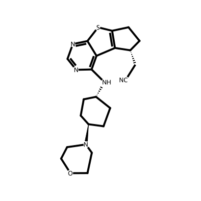 N#CC[C@H]1CCc2sc3ncnc(N[C@H]4CC[C@H](N5CCOCC5)CC4)c3c21